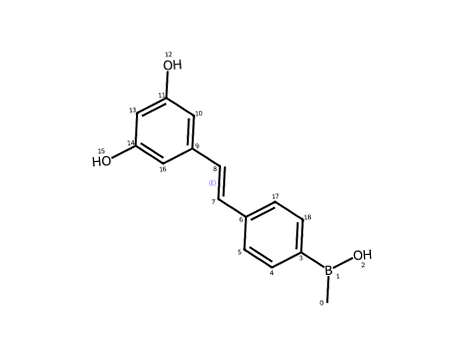 CB(O)c1ccc(/C=C/c2cc(O)cc(O)c2)cc1